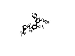 Cc1cc(F)c(NC(=O)N2CCC3C2C3C(F)(F)F)cc1-c1cc(OCCO)nc(N2CCOCC2)c1